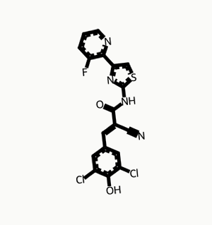 N#C/C(=C\c1cc(Cl)c(O)c(Cl)c1)C(=O)Nc1nc(-c2ncccc2F)cs1